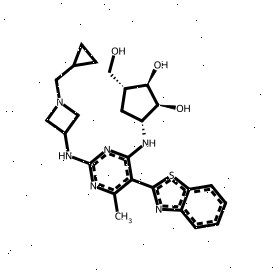 Cc1nc(NC2CN(CC3CC3)C2)nc(N[C@@H]2C[C@H](CO)[C@@H](O)[C@H]2O)c1-c1nc2ccccc2s1